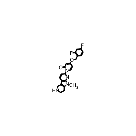 Cn1c2c(c3ccc(-n4ccc(OCc5ccc(F)cc5F)cc4=O)nc31)CNCC2